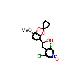 COc1ccc(C(O)Cc2c(Cl)c[n+]([O-])cc2Cl)c2c1OC1(CCCC1)O2